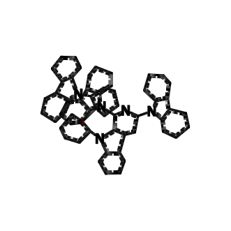 c1ccc(-n2c3ccccc3c3ccccc32)c(-c2ccccc2-n2c3ccccc3c3cc(-n4c5ccccc5c5ccccc54)nc(-n4c5ccccc5c5ccccc54)c32)c1